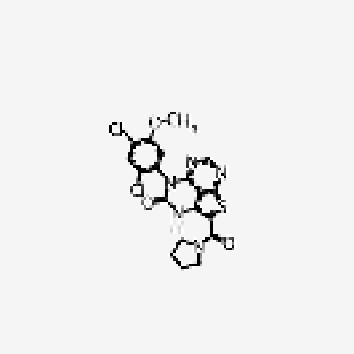 COc1cc(N2C(=O)Nc3c(C(=O)N4CCCC4)sc4ncnc2c34)c(Cl)cc1Cl